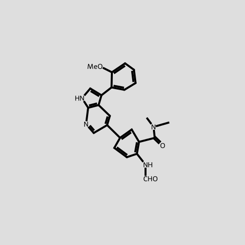 COc1ccccc1-c1c[nH]c2ncc(-c3ccc(NC=O)c(C(=O)N(C)C)c3)cc12